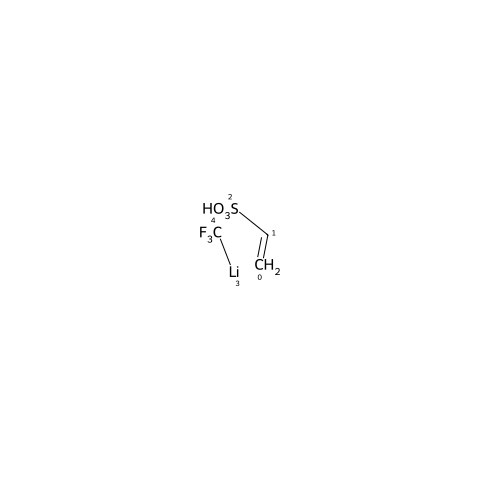 C=CS(=O)(=O)O.[Li][C](F)(F)F